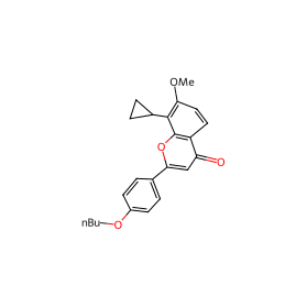 CCCCOc1ccc(-c2cc(=O)c3ccc(OC)c(C4CC4)c3o2)cc1